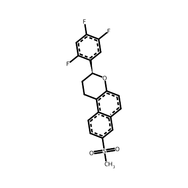 CS(=O)(=O)c1ccc2c3c(ccc2c1)O[C@H](c1cc(F)c(F)cc1F)CC3